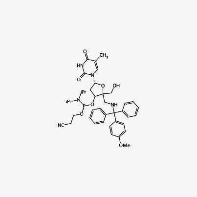 COc1ccc(C(NCC2(CO)O[C@@H](n3cc(C)c(=O)[nH]c3=O)CC2OP(OCCC#N)N(C(C)C)C(C)C)(c2ccccc2)c2ccccc2)cc1